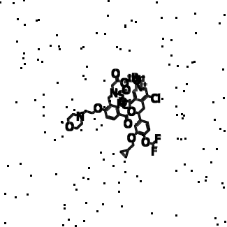 CC(C)(C)OC(=O)CN(Cc1cc(C(=O)OC(Cc2c(Cl)c[n+]([O-])cc2Cl)c2ccc(OC(F)F)c(OCC3CC3)c2)ccc1OCCN1CCOCC1)[SH](=O)=O